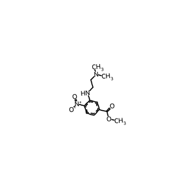 COC(=O)c1ccc([N+](=O)[O-])c(NCCN(C)C)c1